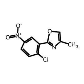 Cc1coc(-c2cc([N+](=O)[O-])ccc2Cl)n1